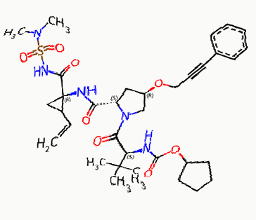 C=CC1C[C@]1(NC(=O)[C@@H]1C[C@@H](OCC#Cc2ccccc2)CN1C(=O)[C@@H](NC(=O)OC1CCCC1)C(C)(C)C)C(=O)NS(=O)(=O)N(C)C